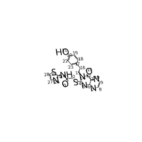 O=C(CSc1nc2nccnc2c(=O)n1CCc1ccc(O)cc1)Nc1nccs1